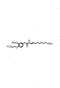 CCCCCCCCCCCCCCCCC=CNC(=O)Cc1ccc(OCCN)c(OC)c1